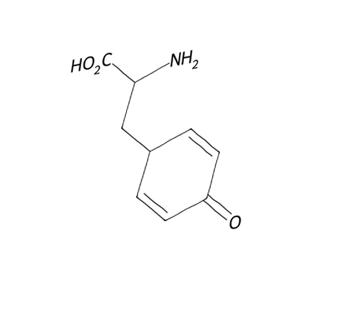 NC(CC1C=CC(=O)C=C1)C(=O)O